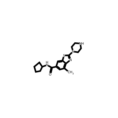 Cc1cc(C(=O)NC2CCCC2)cc2sc(N3CCNCC3)nc12